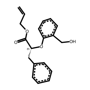 C=CCOC(=O)[C@@H](Cc1ccccc1)Oc1ccccc1CO